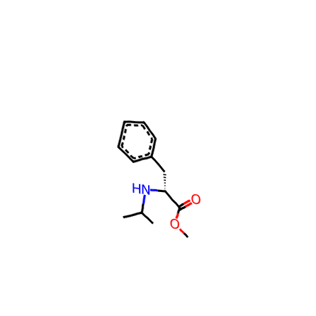 COC(=O)[C@@H](Cc1ccccc1)NC(C)C